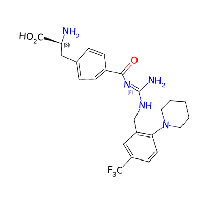 N/C(=N\C(=O)c1ccc(C[C@H](N)C(=O)O)cc1)NCc1cc(C(F)(F)F)ccc1N1CCCCC1